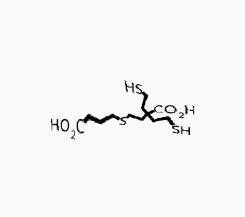 O=C(O)CCCSCCC(CCS)(CCS)C(=O)O